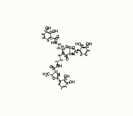 CC1OC(c2cccc(O)c2O)=NC1C(=O)NCCCN(CCCNC(=O)c1cccc(O)c1O)C(=O)C1N=C(c2cccc(O)c2O)OC1C